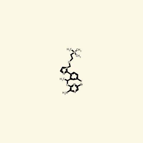 CC(Oc1nc(Br)cnc1N)c1cc(F)ccc1-c1nccn1COCC[Si](C)(C)C